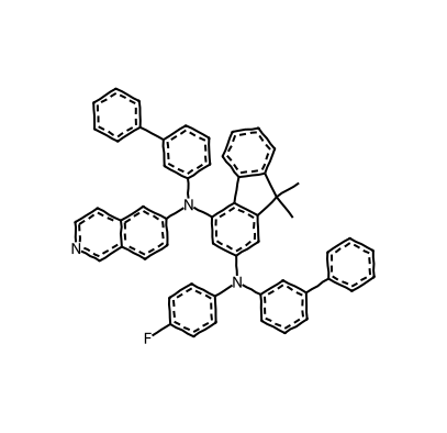 CC1(C)c2ccccc2-c2c(N(c3cccc(-c4ccccc4)c3)c3ccc4cnccc4c3)cc(N(c3ccc(F)cc3)c3cccc(-c4ccccc4)c3)cc21